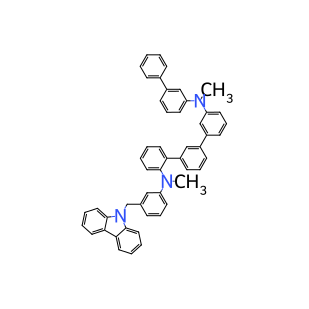 CN(c1cccc(-c2ccccc2)c1)c1cccc(-c2cccc(-c3ccccc3N(C)c3cccc(Cn4c5ccccc5c5ccccc54)c3)c2)c1